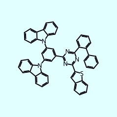 c1ccc(-c2ccccc2-c2nc(-c3cc(-n4c5ccccc5c5ccccc54)cc(-n4c5ccccc5c5ccccc54)c3)nc(-c3cc4ccccc4s3)n2)cc1